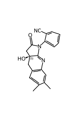 Cc1cc2c(cc1C)N=C1N(c3ccccc3C#N)C(=O)C[C@@]1(O)C2